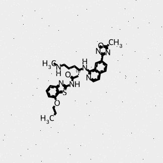 CCCOc1cccc2nc(NC(=O)C[C@H](CCCNC)Nc3nccc4ccc(-c5noc(C)n5)cc34)sc12